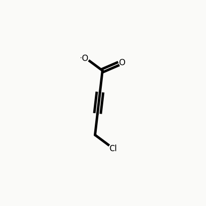 [O]C(=O)C#CCCl